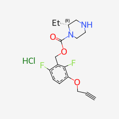 C#CCOc1ccc(F)c(COC(=O)N2CCNC[C@H]2CC)c1F.Cl